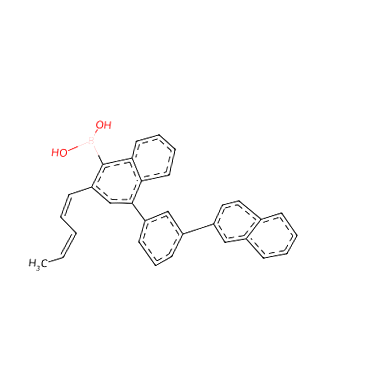 C/C=C\C=C/c1cc(-c2cccc(-c3ccc4ccccc4c3)c2)c2ccccc2c1B(O)O